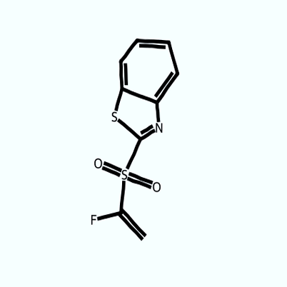 C=C(F)S(=O)(=O)c1nc2ccccc2s1